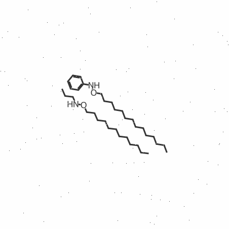 CCCCCCCCCCCCCCONc1ccccc1.CCCCCCCCCCCCONCCC